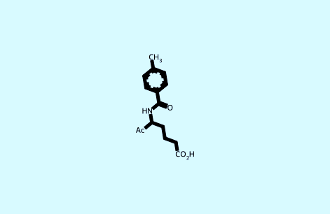 CC(=O)C(CCCC(=O)O)NC(=O)c1ccc(C)cc1